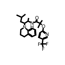 CC(C)CC(C(C)NC(=O)C(C)(C)Oc1ccc(C(F)(F)F)cn1)N1CCCc2ccccc21